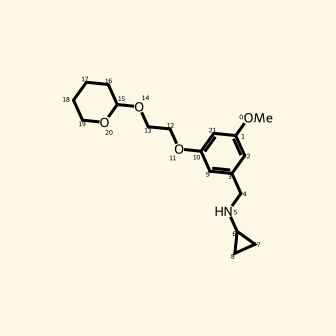 COc1cc(CNC2CC2)cc(OCCOC2CCCCO2)c1